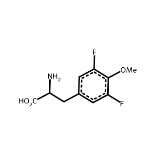 COc1c(F)cc(CC(N)C(=O)O)cc1F